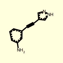 Nc1cccc(C#Cc2cn[nH]c2)c1